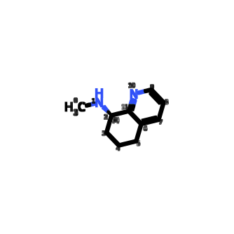 CN[C@@H]1CCCc2cccnc21